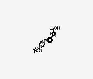 CC(C)(C)OC(=O)N1CCN(Cc2cccc(-c3nc(C(=O)O)cs3)c2)CC1